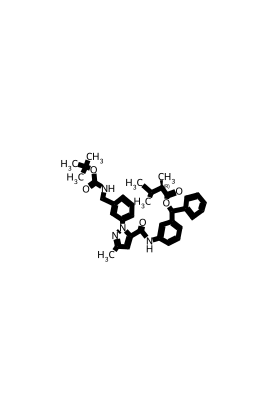 Cc1cc(C(=O)Nc2cccc(C(OC(=O)[C@H](C)C(C)C)c3ccccc3)c2)n(-c2cccc(CNC(=O)OC(C)(C)C)c2)n1